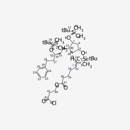 CC(C)(C)[Si](C)(C)OC1CC(O[Si](C)(C)C(C)(C)C)[C@H](CC[C@@H](CCc2ccccc2)O[Si](C)(C)C(C)(C)C)[C@H]1C/C=C\CCCC(=O)OCCC(=O)Cl